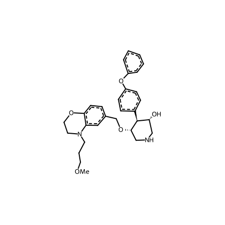 COCCCN1CCOc2ccc(CO[C@H]3CNC[C@@H](O)[C@@H]3c3ccc(Oc4ccccc4)cc3)cc21